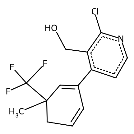 CC1(C(F)(F)F)C=C(c2ccnc(Cl)c2CO)C=CC1